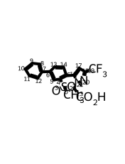 CS(=O)(=O)c1cc(-c2ccccc2)ccc1-c1cc(C(F)(F)F)nn1CC(=O)O